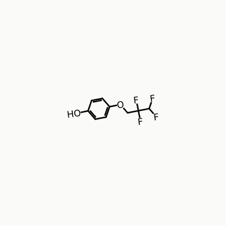 Oc1ccc(OCC(F)(F)C(F)F)cc1